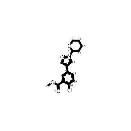 COC(=O)c1cc(-c2cnn(C3CCCCO3)c2)ccc1Cl